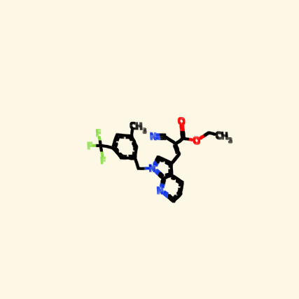 CCOC(=O)/C(C#N)=C/c1cn(Cc2cc(C)cc(C(F)(F)F)c2)c2ncccc12